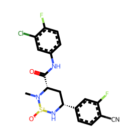 CN1[C@H](C(=O)Nc2ccc(F)c(Cl)c2)C[C@H](c2ccc(C#N)c(F)c2)N[S+]1[O-]